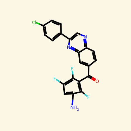 Nc1cc(F)c(F)c(C(=O)c2ccc3ncc(-c4ccc(Cl)cc4)nc3c2)c1F